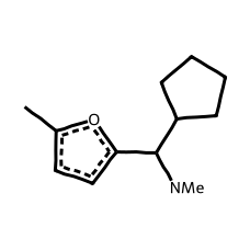 CNC(c1ccc(C)o1)C1CCCC1